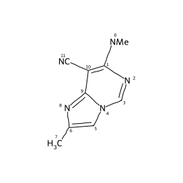 CNc1ncn2cc(C)nc2c1C#N